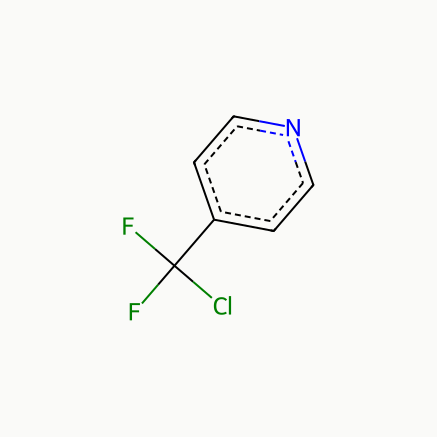 FC(F)(Cl)c1ccncc1